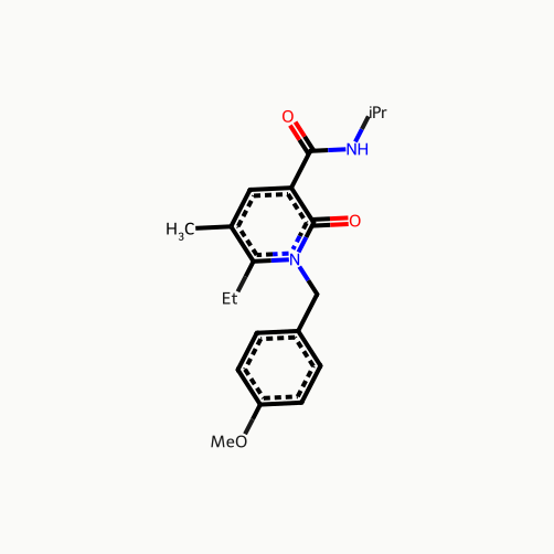 CCc1c(C)cc(C(=O)NC(C)C)c(=O)n1Cc1ccc(OC)cc1